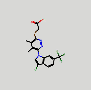 Cc1c(SCC(=O)O)nnc(-n2cc(Br)c3ccc(C(F)(F)F)cc32)c1C